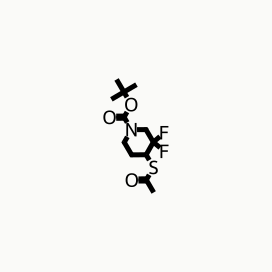 CC(=O)SC1CCN(C(=O)OC(C)(C)C)CC1(F)F